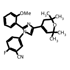 COc1ccccc1-c1nc(C2=CC(C)(C)OC(C)(C)C2)cn1-c1ccc(F)c(C#N)c1